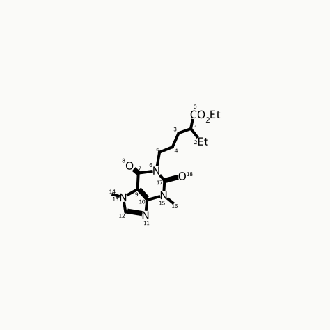 CCOC(=O)C(CC)CCCn1c(=O)c2c(ncn2C)n(C)c1=O